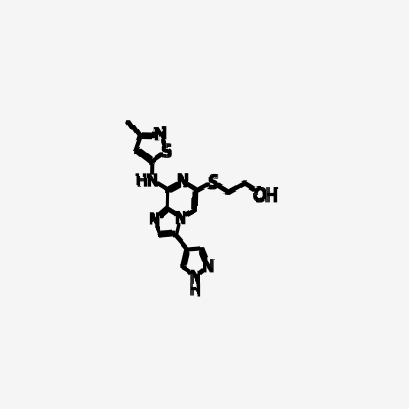 Cc1cc(Nc2nc(SCCO)cn3c(-c4cn[nH]c4)cnc23)sn1